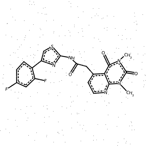 Cn1c(=O)c2c(CC(=O)Nc3nc(-c4ccc(F)cc4F)cs3)ccnc2n(C)c1=O